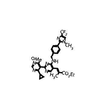 CCOC(=O)/C(C)=C/c1cnc(-c2c(OC)ncnc2C2CC2)nc1NCc1ccc(-c2nc(C(F)(F)F)cn2C)cc1